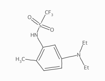 CCN(CC)c1ccc(C)c(NS(=O)(=O)C(F)(F)F)c1